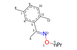 CCCON=C(C)c1cc(C)[c]cc1C